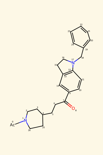 CC(=O)N1CCC(CCC(=O)c2ccc3c(c2)CCN3Cc2ccccc2)CC1